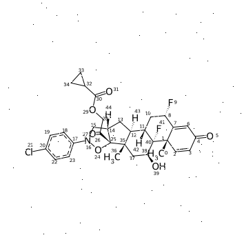 C[C@]12C=CC(=O)C=C1[C@@H](F)C[C@H]1[C@@H]3C[C@H]4CN(c5ccc(Cl)cc5)O[C@@]4(C(=O)COC(=O)C4CC4)[C@@]3(C)C[C@H](O)[C@@]12F